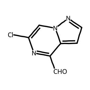 O=Cc1nc(Cl)cn2nccc12